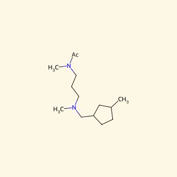 CC(=O)N(C)CCCN(C)CC1CCC(C)C1